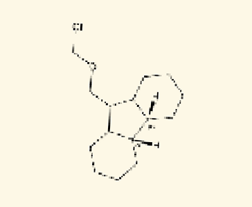 OCOCC1C2CCCC[C@H]2[C@H]2CCCCC12